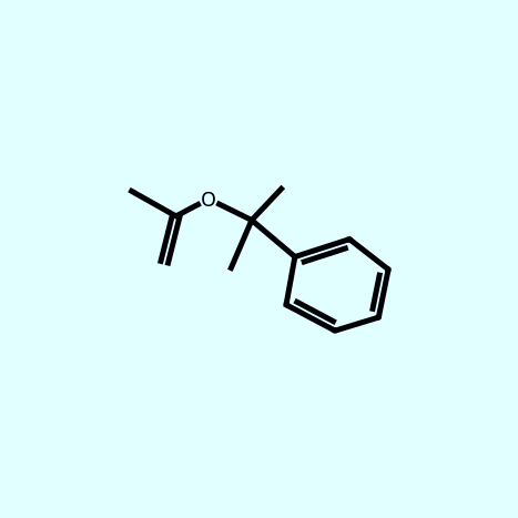 C=C(C)OC(C)(C)c1ccccc1